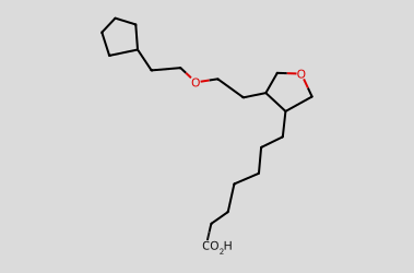 O=C(O)CCCCCCC1COCC1CCOCCC1CCCC1